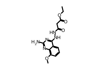 CCOC(=O)CC(=O)NNc1nc(N)nc2c(OC)cccc12